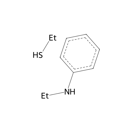 CCNc1ccccc1.CCS